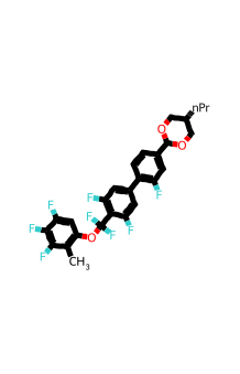 CCCC1COC(c2ccc(-c3cc(F)c(C(F)(F)Oc4cc(F)c(F)c(F)c4C)c(F)c3)c(F)c2)OC1